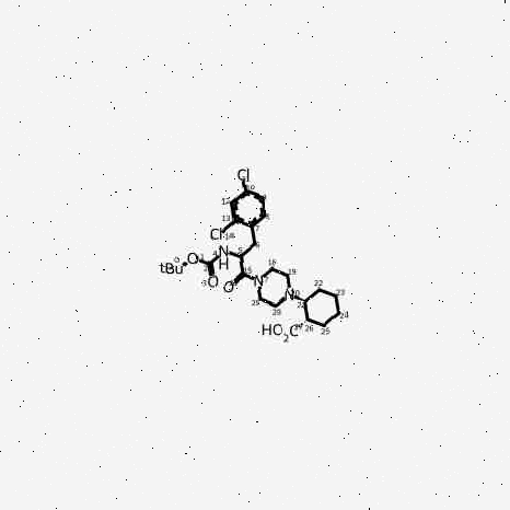 CC(C)(C)OC(=O)NC(Cc1ccc(Cl)cc1Cl)C(=O)N1CCN([C@H]2CCCC[C@@H]2C(=O)O)CC1